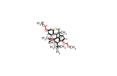 COCOc1ccc(C2(C)CSc3cc(OCOC)ccc3C2c2ccc(C(C)(C)C)cc2O[SiH](C)C)cc1